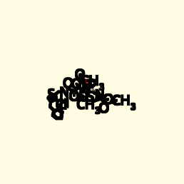 CCOC(=O)c1csc([C@H]2CCCN2C(=O)[C@H](OC(C)=O)[C@@H](OC(C)=O)C(=O)NCc2cc(Cc3ccccc3Cl)cs2)n1